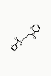 O=C(NCCC[S+]([O-])c1ccccn1)c1cccs1